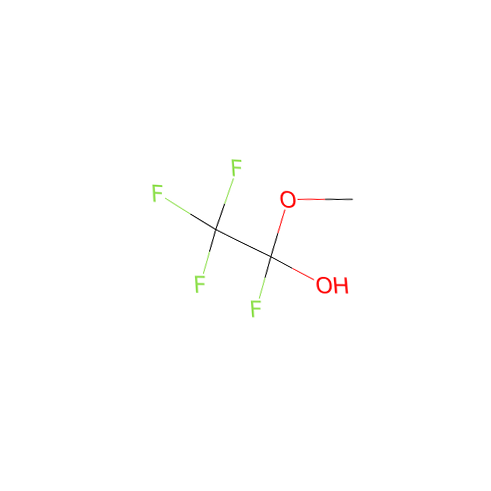 COC(O)(F)C(F)(F)F